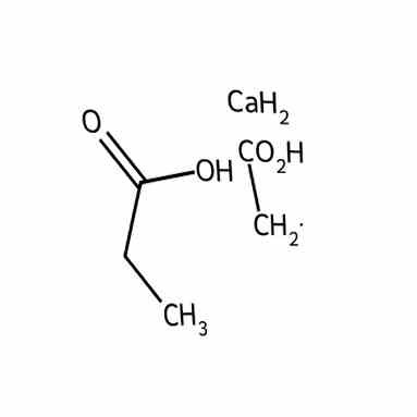 CCC(=O)O.[CH2]C(=O)O.[CaH2]